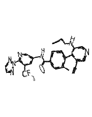 C#Cc1cncc(NCC=C)c1-c1ccc(C(=O)Nc2cnc(-n3nccn3)c(C(F)(F)F)c2)cc1C